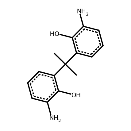 CC(C)(c1cccc(N)c1O)c1cccc(N)c1O